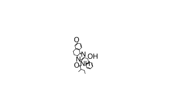 CCC(C)C(=O)Nc1nc2c(nc1C(O)c1ccccc1)-c1ccc(OC)cc1CC2